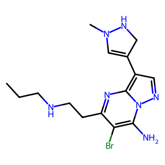 CCCNCCc1nc2c(C3=CN(C)NC3)cnn2c(N)c1Br